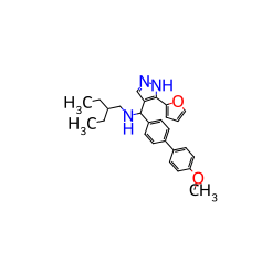 CCC(CC)CNC(c1ccc(-c2ccc(OC)cc2)cc1)c1cn[nH]c1-c1ccco1